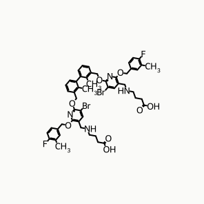 Cc1cc(COc2nc(OCc3cccc(-c4cccc(COc5nc(OCc6ccc(F)c(C)c6)c(CNCCCC(=O)O)cc5Br)c4C)c3C)c(Br)cc2CNCCCC(=O)O)ccc1F